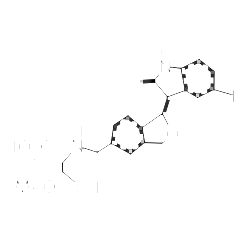 CO[C@@H](C)[C@@H](NCc1ccc2c(c1)COC2=C1C(=O)Nc2ccc(F)cc21)C(=O)O